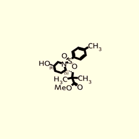 COC(=O)C(C)(C)C[C@@H]1CC[C@@H](O)CN1S(=O)(=O)c1ccc(C)cc1